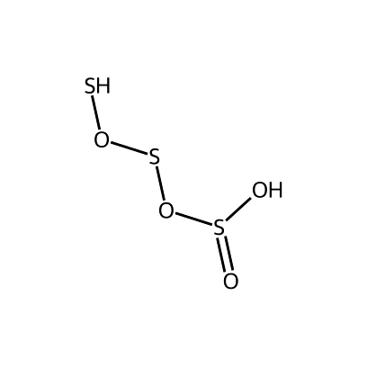 O=S(O)OSOS